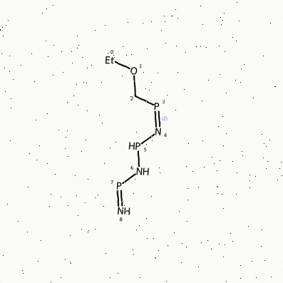 CCOC/P=N\PNP=N